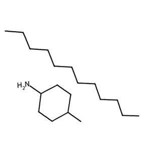 CC1CCC(N)CC1.CCCCCCCCCCCC